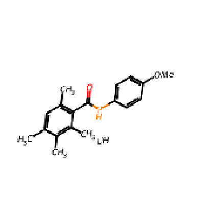 COc1ccc(PC(=O)c2c(C)cc(C)c(C)c2C)cc1.[LiH]